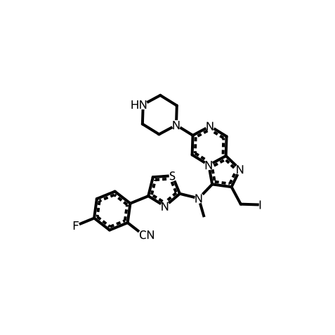 CN(c1nc(-c2ccc(F)cc2C#N)cs1)c1c(CI)nc2cnc(N3CCNCC3)cn12